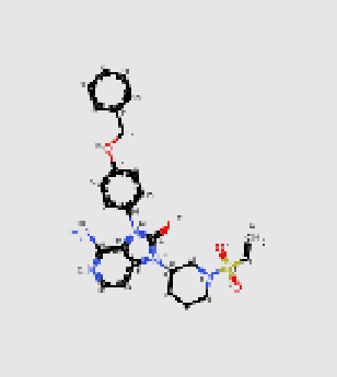 C=CS(=O)(=O)N1CCC[C@@H](n2c(=O)n(-c3ccc(OCc4ccccc4)cc3)c3c(N)nccc32)C1